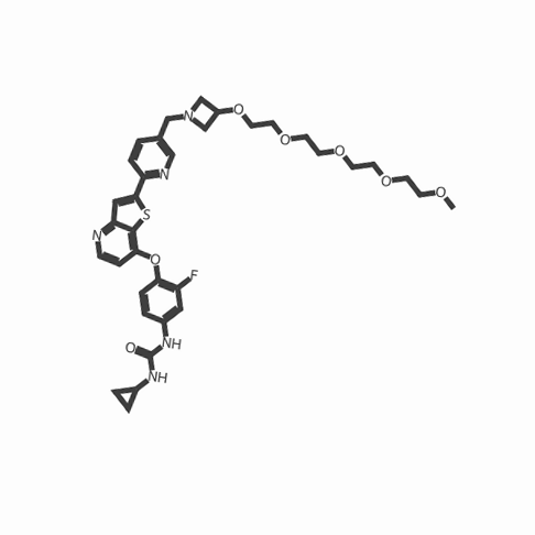 COCCOCCOCCOCCOC1CN(Cc2ccc(-c3cc4nccc(Oc5ccc(NC(=O)NC6CC6)cc5F)c4s3)nc2)C1